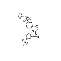 N#Cc1cc(C(F)(F)F)ccc1N1C(=O)COc2cc(S(=O)(=O)Nc3nccs3)ccc21